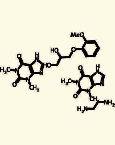 COc1ccccc1OCC(O)CO.Cn1c(=O)c2[nH]cnc2n(C)c1=O.Cn1c(=O)c2[nH]cnc2n(C)c1=O.NCCN